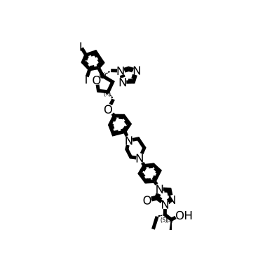 CC[C@@H]([C@H](C)O)n1ncn(-c2ccc(N3CCN(c4ccc(OC[C@@H]5CO[C@@](Cn6cncn6)(c6ccc(I)cc6I)C5)cc4)CC3)cc2)c1=O